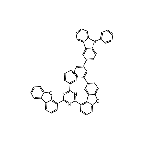 c1ccc(-c2nc(-c3cccc4c3oc3ccccc34)nc(-c3cccc4oc5ccc(-c6cccc(-c7ccc8c(c7)c7ccccc7n8-c7ccccc7)c6)cc5c34)n2)cc1